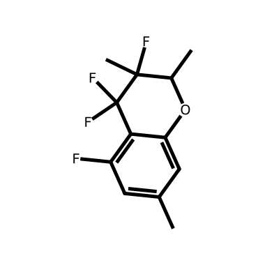 Cc1cc(F)c2c(c1)OC(C)C(C)(F)C2(F)F